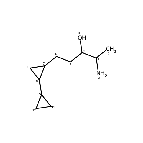 CC(N)C(O)CCC1CC1C1CC1